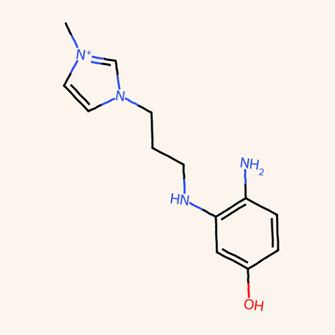 C[n+]1ccn(CCCNc2cc(O)ccc2N)c1